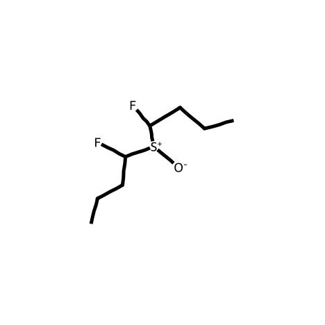 CCCC(F)[S+]([O-])C(F)CCC